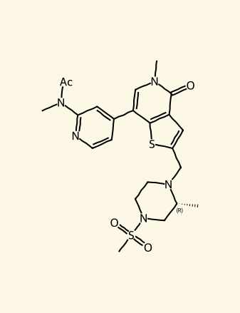 CC(=O)N(C)c1cc(-c2cn(C)c(=O)c3cc(CN4CCN(S(C)(=O)=O)C[C@H]4C)sc23)ccn1